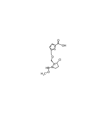 COBN1CCC(Cl)[C@@H]1COCc1ccc(C(=O)O)s1